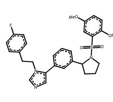 COc1ccc(OC)c(S(=O)(=O)N2CCCC2c2cccc(-c3cncn3CCc3ccc(F)cc3)c2)c1